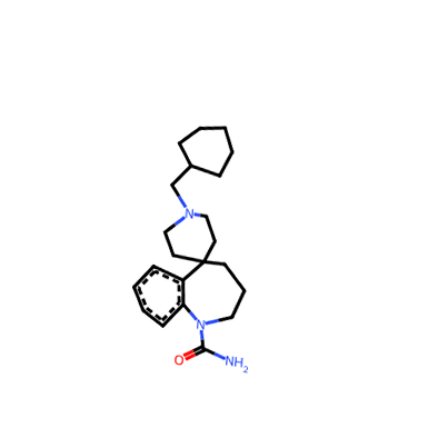 NC(=O)N1CCCC2(CCN(CC3CCCCC3)CC2)c2ccccc21